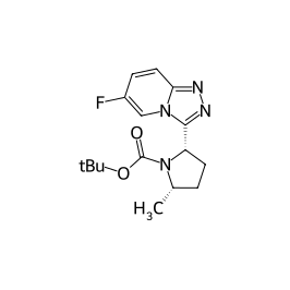 C[C@H]1CC[C@@H](c2nnc3ccc(F)cn23)N1C(=O)OC(C)(C)C